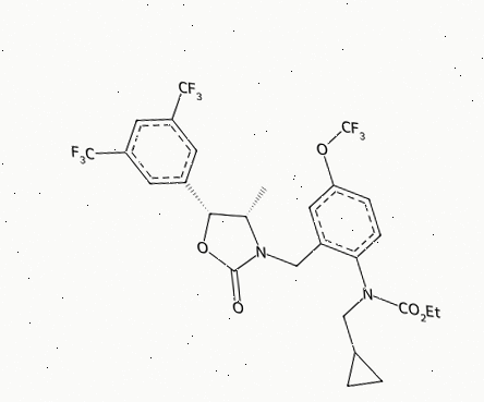 CCOC(=O)N(CC1CC1)c1ccc(OC(F)(F)F)cc1CN1C(=O)O[C@H](c2cc(C(F)(F)F)cc(C(F)(F)F)c2)[C@@H]1C